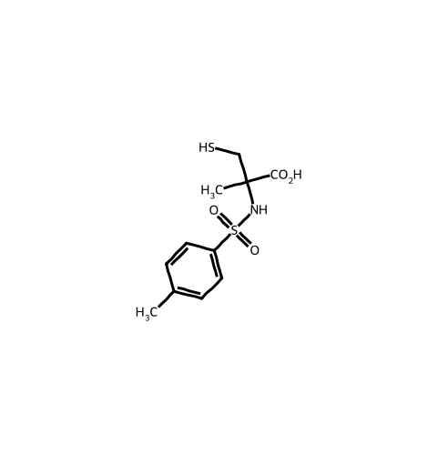 Cc1ccc(S(=O)(=O)NC(C)(CS)C(=O)O)cc1